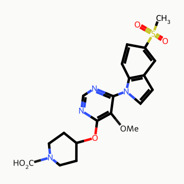 COc1c(OC2CCN(C(=O)O)CC2)ncnc1-n1ccc2cc(S(C)(=O)=O)ccc21